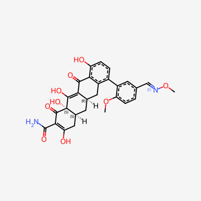 CO/N=C/c1ccc(OC)c(-c2ccc(O)c3c2C[C@H]2C[C@H]4CC(O)=C(C(N)=O)C(=O)[C@@]4(O)C(O)=C2C3=O)c1